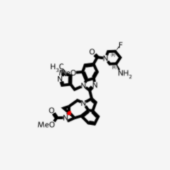 COC(=O)N1CC(c2cccc3cc(-c4nc5cc(C(=O)N6C[C@H](N)C[C@@H](F)C6)cc(OC)c5n4Cc4cnn(C)c4)n(CC4CC4)c23)C1